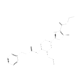 CCOC(=O)c1nc(N2CCC(NC(=O)OCc3ccccc3)C(OCC)C2)oc1C